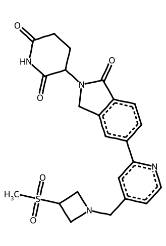 CS(=O)(=O)C1CN(Cc2ccnc(-c3ccc4c(c3)CN(C3CCC(=O)NC3=O)C4=O)c2)C1